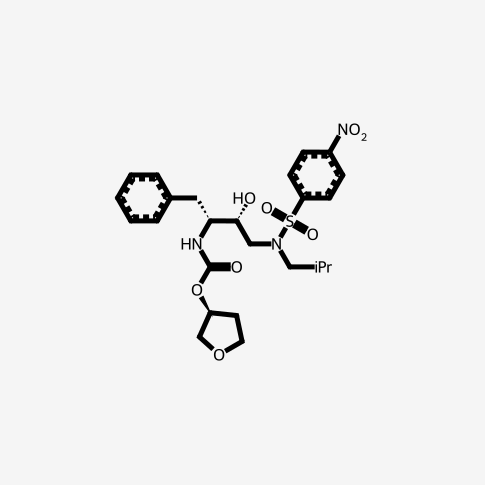 CC(C)CN(C[C@@H](O)[C@@H](Cc1ccccc1)NC(=O)O[C@H]1CCOC1)S(=O)(=O)c1ccc([N+](=O)[O-])cc1